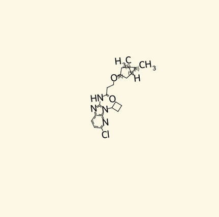 C[C@@H]1[C@@H]2C[C@@H](OCCC(=O)Nc3nc4ccc(Cl)nc4n3C3CCC3)C[C@@]12C